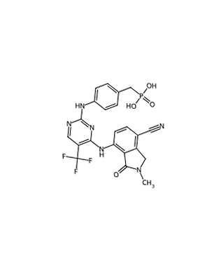 CN1Cc2c(C#N)ccc(Nc3nc(Nc4ccc(CP(=O)(O)O)cc4)ncc3C(F)(F)F)c2C1=O